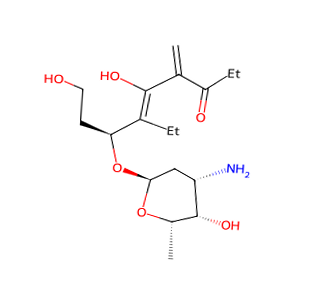 C=C(C(=O)CC)/C(O)=C(\CC)[C@H](CCO)O[C@H]1C[C@H](N)[C@H](O)[C@H](C)O1